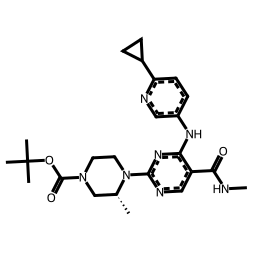 CNC(=O)c1cnc(N2CCN(C(=O)OC(C)(C)C)C[C@H]2C)nc1Nc1ccc(C2CC2)nc1